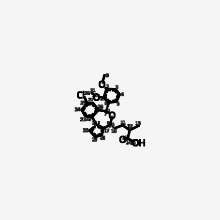 COc1cccc([C@H]2O[C@H](CCC(C)C(=O)O)c3cccn3-c3ccc(Cl)cc32)c1OC